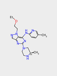 CCOCCn1ncc2nc(N3CCN[C@H](C)C3)nc(Nc3ccc(C)cn3)c21